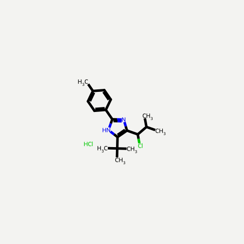 Cc1ccc(-c2nc(C(Cl)C(C)C)c(C(C)(C)C)[nH]2)cc1.Cl